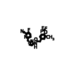 Cc1cc(CC(=O)Nc2ccn(Cc3ccc(F)c(C#N)n3)n2)ccc1OC(F)(F)F